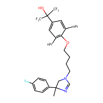 CCCc1cc(C(O)(C(F)(F)F)C(F)(F)F)cc(CCC)c1OCCCCN1C=NC(C)(c2ccc(F)cc2)C1